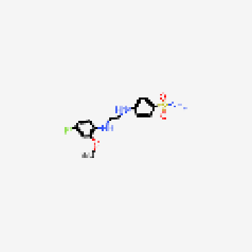 CCCCOc1cc(F)ccc1NCCNc1ccc(S(N)(=O)=O)cc1